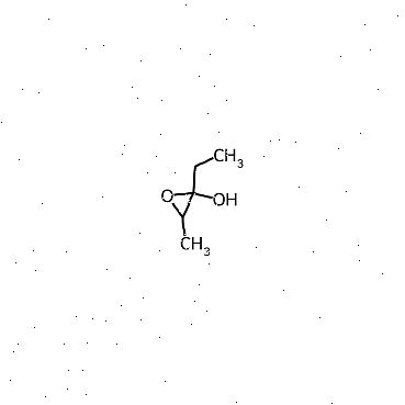 CCC1(O)OC1C